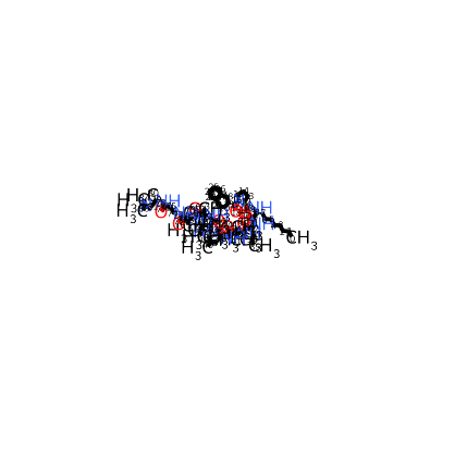 CCCCCCCC[C@H](NC(=O)[C@@H]1CCCN1C(=O)[C@@H]1CCc2ccccc2C1)C(=O)N[C@@H](CC(C)C)C(=O)NC(C)(C)C(=O)N[C@@H](CC(C)C)C(=O)N[C@@H](CC(C)C)C(=O)NC(C)(C)C(=O)NC(C)(C)C(=O)NCCC(=O)N[C@@H](C)CN(C)C